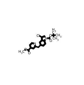 COC(=O)c1ccnc(Cc2ccc3c(c2)c(Cl)cn3C(=O)OC(C)(C)C)c1